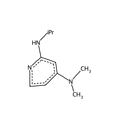 CC(C)Nc1cc(N(C)C)ccn1